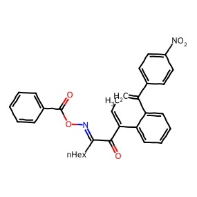 C=C(c1ccc([N+](=O)[O-])cc1)c1ccccc1/C(=C\C)C(=O)/C(CCCCCC)=N/OC(=O)c1ccccc1